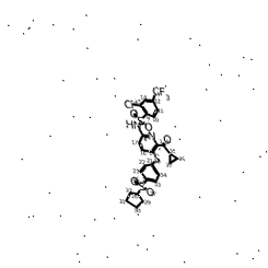 O=C(c1nc(NS(=O)(=O)c2ccc(C(F)(F)F)cc2Cl)ccc1Sc1ccc(S(=O)(=O)C2CCCC2)cc1)C1CC1